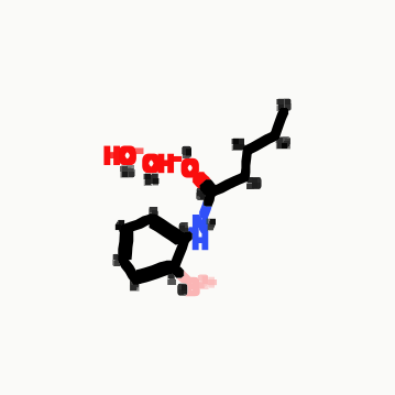 [B+2]c1ccccc1NC(=O)CCCC.[OH-].[OH-]